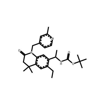 CCc1cc2c(cc1C(C)NC(=O)OC(C)(C)C)N(Cc1ccnc(C)c1)C(=O)CC2(C)C